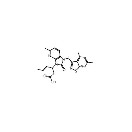 CCCC(CC(=O)O)n1c(=O)n(Cc2nsc3cc(C)cc(C)c23)c2ccc(C)nc21